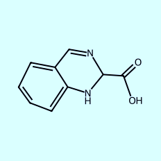 O=C(O)C1N=Cc2ccccc2N1